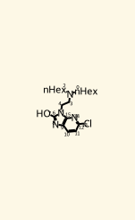 CCCCCCN(CCCCCC)CCn1c(O)nc2ccc(Cl)nc21